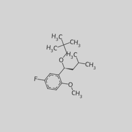 COc1ccc(F)cc1[C@H](CC(C)C)OCC(C)(C)C